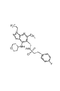 CCn1ncc2c(NC3CCOCC3)c(CNS(=O)(=O)CCc3ccc(F)cc3)c(C)nc21